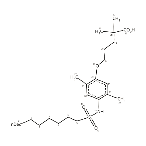 CCCCCCCCCCCCCCCCS(=O)(=O)Nc1cc(C)c(OCCCC(C)(C)C(=O)O)cc1C